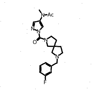 CC(=O)N(C)c1cnn(C(=O)N2CCC3(CCN(Cc4cccc(F)c4)C3)C2)c1